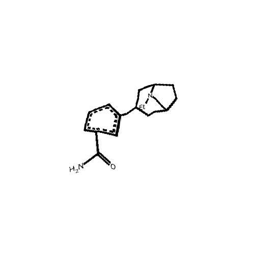 [CH2]CN1C2CCC1CC(c1cccc(C(N)=O)c1)C2